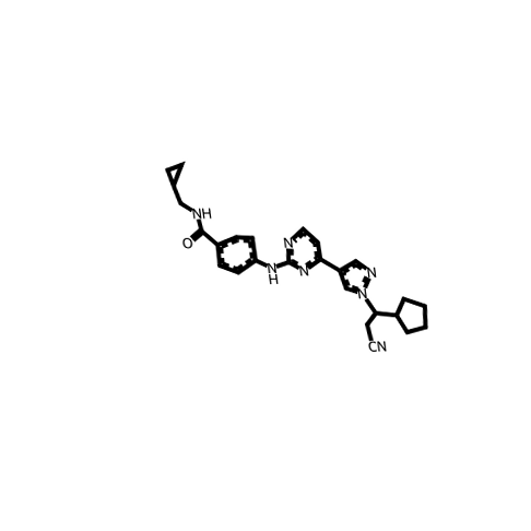 N#CCC(C1CCCC1)n1cc(-c2ccnc(Nc3ccc(C(=O)NCC4CC4)cc3)n2)cn1